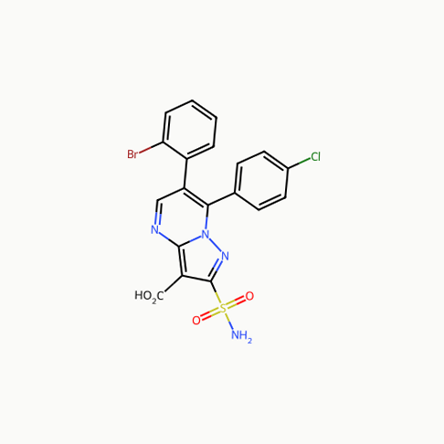 NS(=O)(=O)c1nn2c(-c3ccc(Cl)cc3)c(-c3ccccc3Br)cnc2c1C(=O)O